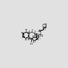 CC1C2Cc3ccccc3C1(C)CCN2CC=CCl